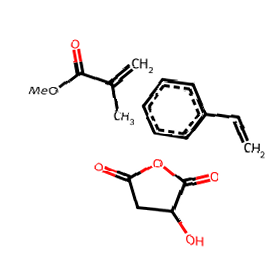 C=C(C)C(=O)OC.C=Cc1ccccc1.O=C1CC(O)C(=O)O1